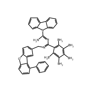 Bc1c(B)c(B)c(C(=N/Cc2ccc3oc4cccc(-c5ccccc5)c4c3c2)/N=C(\N)n2c3ccccc3c3ccccc32)c(B)c1B